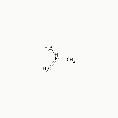 B[PH](=C)C